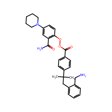 CC(C)(Cc1ccccc1CN)c1ccc(C(=O)OOc2ccc(N3CCCCC3)cc2C(N)=O)cc1